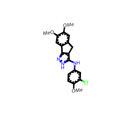 COc1ccc(Nc2[nH]nc3c2Cc2cc(OC)c(OC)cc2-3)cc1Cl